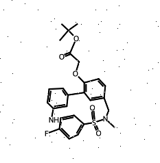 CN(Cc1ccc(OCC(=O)OC(C)(C)C)c(-c2cccc(N)c2)c1)S(=O)(=O)c1ccc(F)cc1